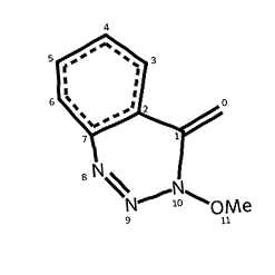 C=C1c2ccccc2N=NN1OC